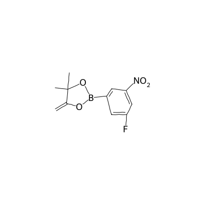 C=C1OB(c2cc(F)cc([N+](=O)[O-])c2)OC1(C)C